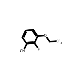 [C-]#[N+]c1cccc(OCC(F)(F)F)c1F